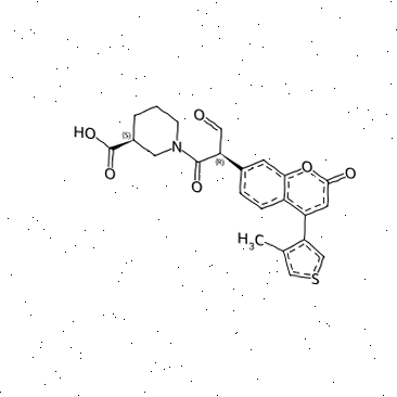 Cc1cscc1-c1cc(=O)oc2cc([C@H](C=O)C(=O)N3CCC[C@H](C(=O)O)C3)ccc12